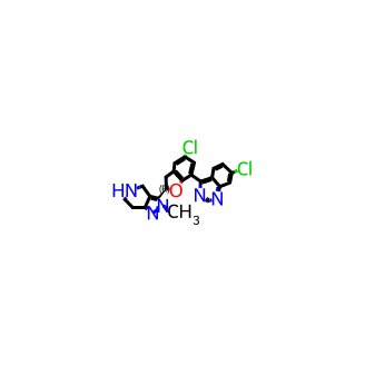 Cn1nc2c(c1[C@H]1Cc3cc(Cl)cc(-c4ncnc5cc(Cl)ccc45)c3O1)CNCC2